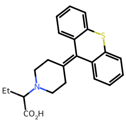 CCC(C(=O)O)N1CCC(=C2c3ccccc3Sc3ccccc32)CC1